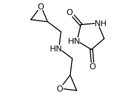 C(NCC1CO1)C1CO1.O=C1CNC(=O)N1